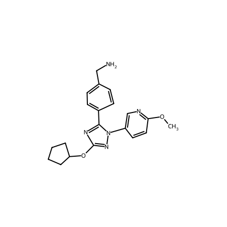 COc1ccc(-n2nc(OC3CCCC3)nc2-c2ccc(CN)cc2)cn1